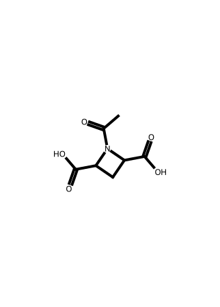 CC(=O)N1C(C(=O)O)CC1C(=O)O